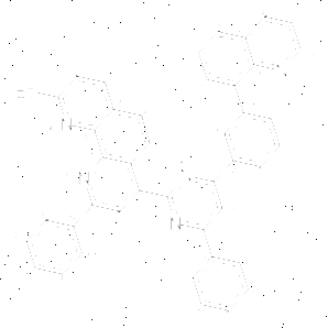 CCc1ccc2ccc3c(-c4nc(-c5ccccc5)cc(-c5cccc(-c6cccc7cccnc67)c5)n4)cc(-c4ccccc4)nc3c2n1